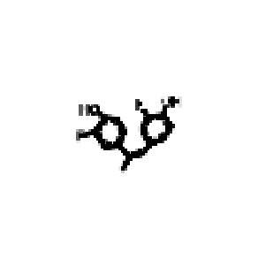 CC(=Cc1ccc(O)c(F)c1)c1ccc(O)c(F)c1